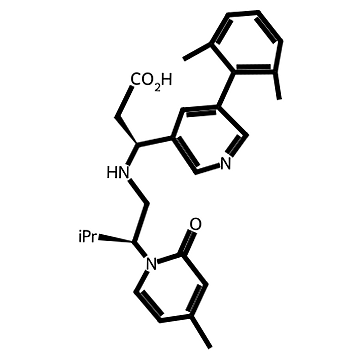 Cc1ccn([C@H](CN[C@@H](CC(=O)O)c2cncc(-c3c(C)cccc3C)c2)C(C)C)c(=O)c1